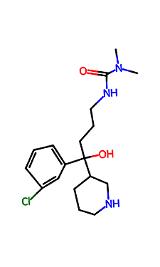 CN(C)C(=O)NCCCC(O)(c1cccc(Cl)c1)C1CCCNC1